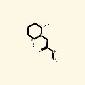 C[C@@H]1CCC[C@H](C)N1CC(=O)NN